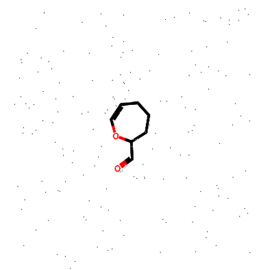 O=CC1CCCC=CO1